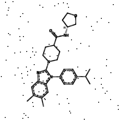 Cc1cc2nc(N3CCC(C(=O)N[C@@H]4CCOC4)CC3)n(-c3ccc(C(C)C)cc3)c2cc1C